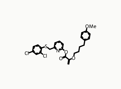 C=C(OCCCCc1ccc(OC)cc1)C(=O)Oc1cccc(CSc2ccc(Cl)cc2Cl)n1